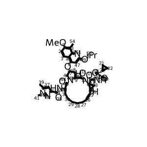 COc1ccc2c(O[C@@H]3C[C@H]4C(=O)N[C@]5(C(=O)NS(=O)(=O)C6CC6)C[C@H]5C=CCCCCC[C@H](NC(=O)c5cc(C)n(C)n5)C(=O)N4C3)cc(OC(C)C)nc2c1C